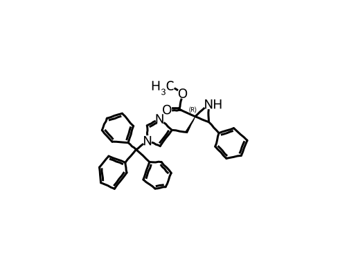 COC(=O)[C@]1(Cc2cn(C(c3ccccc3)(c3ccccc3)c3ccccc3)cn2)NC1c1ccccc1